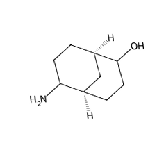 NC1CC[C@@H]2C[C@H]1CCC2O